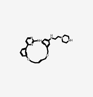 C1=C/COCc2cc(NCCN3CCNCC3)cc(c2)Nc2nccc(n2)-c2cccc(c2)OCC/1